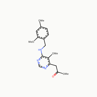 COC(=O)Cc1ncnc(NCc2ccc(OC)cc2OC)c1OC